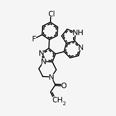 C=CC(=O)N1CCn2nc(-c3ccc(Cl)cc3F)c(-c3ccnc4[nH]ccc34)c2C1